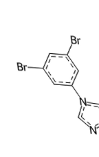 Brc1cc(Br)cc(-n2ccnc2)c1